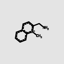 C[n+]1c(CN)ccc2ccccc21